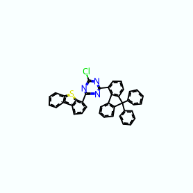 Clc1nc(-c2cccc3c2-c2ccccc2C3(c2ccccc2)c2ccccc2)nc(-c2cccc3c2sc2ccccc23)n1